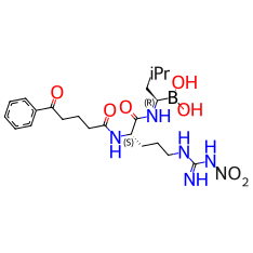 CC(C)C[C@H](NC(=O)[C@H](CCCNC(=N)N[N+](=O)[O-])NC(=O)CCCC(=O)c1ccccc1)B(O)O